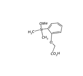 CO[Si](C)(C)c1ccccc1OCC(=O)O